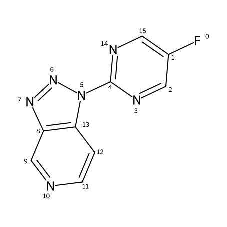 Fc1cnc(-n2nnc3cnccc32)nc1